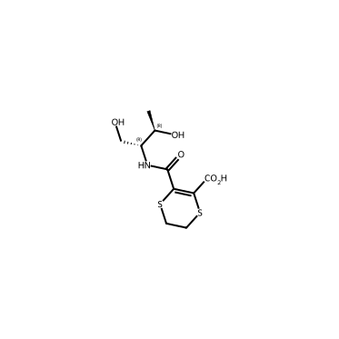 C[C@@H](O)[C@@H](CO)NC(=O)C1=C(C(=O)O)SCCS1